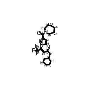 O=C(c1cc2nc(CC3CCCCC3)cc(C(F)(F)F)n2n1)N1CCCCCC1